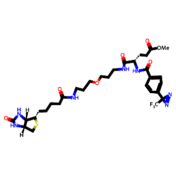 COC(=O)CC[C@H](NC(=O)c1ccc(C2(C(F)(F)F)N=N2)cc1)C(=O)NCCCOCCCNC(=O)CCCC[C@@H]1SC[C@@H]2NC(=O)N[C@@H]21